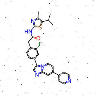 Cc1nc(NC(=O)Cc2ccc(-c3cnc4cc(-c5ccncc5)ccn34)cc2F)sc1C(C)C